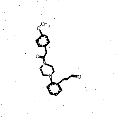 COc1ccc(CC(=O)N2CCN(c3ccccc3/C=C/C=O)CC2)cc1